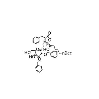 CCCCCCCCCCCCCC[C@@H](O)[C@H]1OC(=O)N(Cc2ccccc2)[C@H]1CC[C@H]1OC(CO)[C@H](O)[C@H](OCc2ccccc2)C1OCc1ccccc1